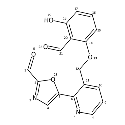 O=Cc1ncc(-c2ncccc2COc2cccc(O)c2C=O)o1